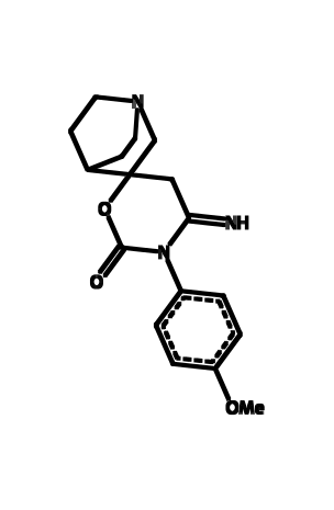 COc1ccc(N2C(=N)CC3(CN4CCC3CC4)OC2=O)cc1